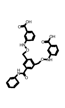 O=C(O)c1cccc(NOCc2cc(CONc3cccc(C(=O)O)c3)cc(C(=O)Nc3ccccc3)c2)c1